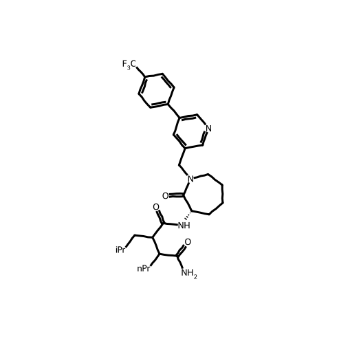 CCCC(C(N)=O)C(CC(C)C)C(=O)N[C@H]1CCCCN(Cc2cncc(-c3ccc(C(F)(F)F)cc3)c2)C1=O